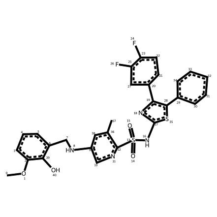 COc1cccc(CNc2cnc(S(=O)(=O)Nc3nc(-c4ccc(F)c(F)c4)c(-c4ccccc4)s3)c(C)c2)c1O